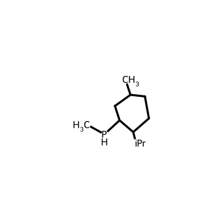 CPC1CC(C)CCC1C(C)C